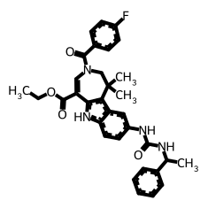 CCOC(=O)C1=CN(C(=O)c2ccc(F)cc2)CC(C)(C)c2c1[nH]c1ccc(NC(=O)NC(C)c3ccccc3)cc21